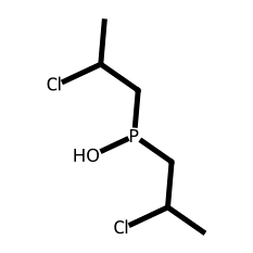 CC(Cl)CP(O)CC(C)Cl